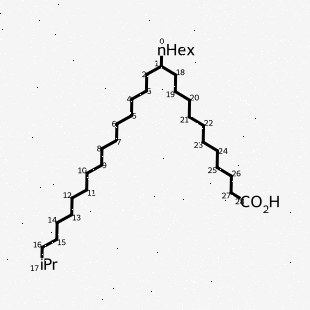 CCCCCCC(CCCCCCCCCCCCCCCC(C)C)CCCCCCCCCCC(=O)O